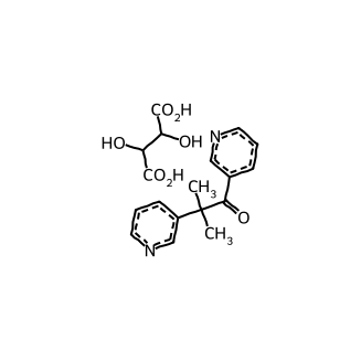 CC(C)(C(=O)c1cccnc1)c1cccnc1.O=C(O)C(O)C(O)C(=O)O